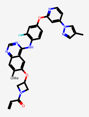 C=CC(=O)N1CC(Oc2cc3c(Nc4ccc(Oc5cc(-n6cc(C)cn6)ccn5)cc4F)ncnc3cc2OC)C1